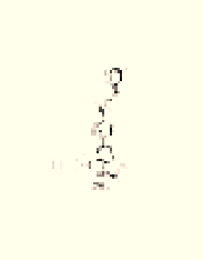 COC(=O)c1cc(-c2ccc(C(=O)NCCc3cccnc3F)cn2)ccc1N(CC(F)F)C(C)=O